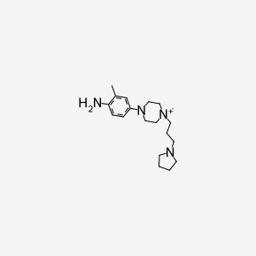 Cc1cc(N2CC[N+](C)(CCCN3CCCC3)CC2)ccc1N